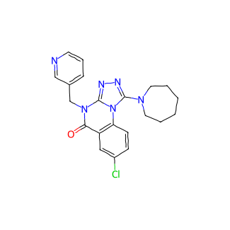 O=c1c2cc(Cl)ccc2n2c(N3CCCCCC3)nnc2n1Cc1cccnc1